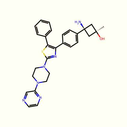 C[C@]1(O)C[C@](N)(c2ccc(-c3nc(N4CCN(c5cnccn5)CC4)sc3-c3ccccc3)cc2)C1